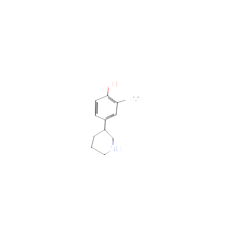 COc1cc(C2CCCNC2)ccc1O